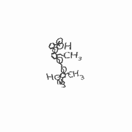 CCCc1c(OCCCOc2cc(O)c(-c3cscn3)cc2CC)cccc1Oc1ccccc1C(=O)O